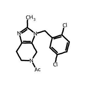 CC(=O)N1CCc2nc(C)n(Cc3cc(Cl)ccc3Cl)c2C1